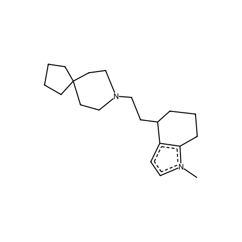 Cn1ccc2c1CCCC2CCN1CCC2(CCCC2)CC1